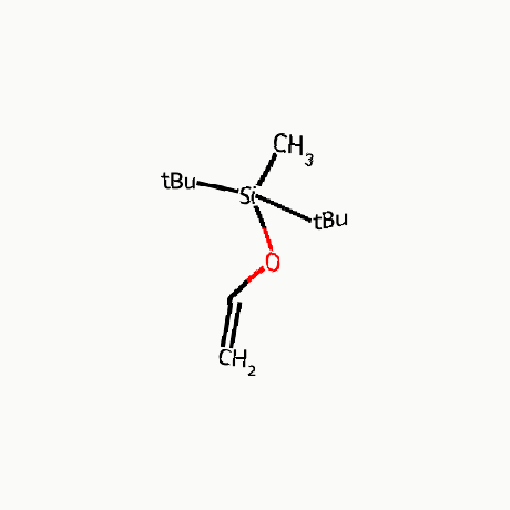 C=CO[Si](C)(C(C)(C)C)C(C)(C)C